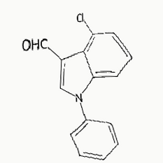 O=Cc1cn(-c2ccccc2)c2cccc(Cl)c12